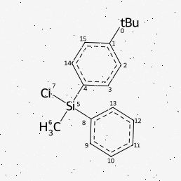 CC(C)(C)c1ccc([Si](C)(Cl)c2ccccc2)cc1